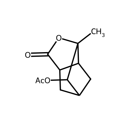 CC(=O)OC1C2CC3C(=O)OC1(C)C3C2